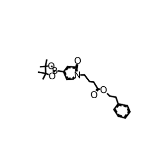 CC1(C)OB(c2ccn(CCCC(=O)OCCc3ccccc3)c(=O)c2)OC1(C)C